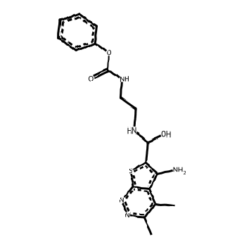 Cc1nnc2sc(C(O)NCCNC(=O)Oc3ccccc3)c(N)c2c1C